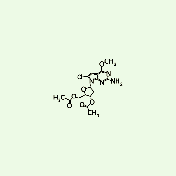 COc1nc(N)nc2c1cc(Cl)n2[C@@H]1C[C@H](OC(C)=O)[C@@H](COC(C)=O)O1